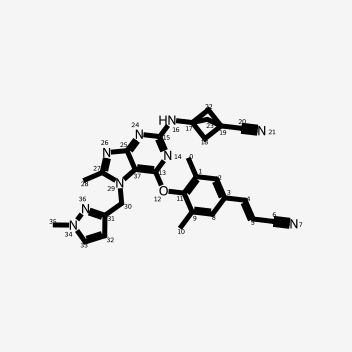 Cc1cc(/C=C/C#N)cc(C)c1Oc1nc(NC23CC(C#N)(C2)C3)nc2nc(C)n(Cc3ccn(C)n3)c12